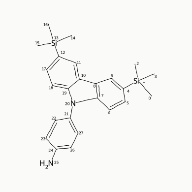 C[Si](C)(C)c1ccc2c(c1)c1cc([Si](C)(C)C)ccc1n2-c1ccc(N)cc1